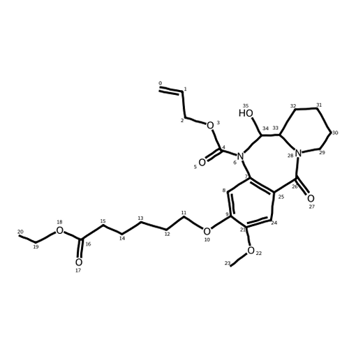 C=CCOC(=O)N1c2cc(OCCCCCC(=O)OCC)c(OC)cc2C(=O)N2CCCCC2C1O